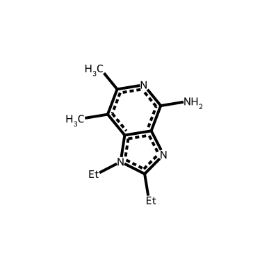 CCc1nc2c(N)nc(C)c(C)c2n1CC